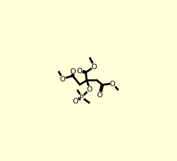 COC(=O)CC(CC(=O)OC)(OP(C)(C)=O)C(=O)OC